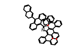 C1=CCCC(c2ccccc2-c2c3ccccc3c(-c3ccccc3C3=CC=CCC3)c3c2nc(-c2c4ccccc4c(C4=CC5=CC=CCC5CC4)c4ccccc24)n3-c2ccccc2)=C1